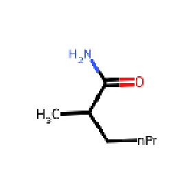 C[CH]CCC(C)C(N)=O